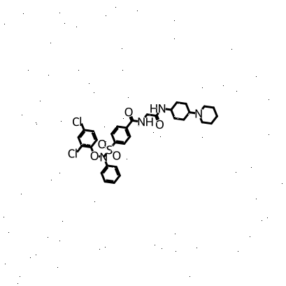 O=C(CNC(=O)c1ccc(S(=O)(=O)N(Oc2ccc(Cl)cc2Cl)c2ccccc2)cc1)NC1CCC(N2CCCCC2)CC1